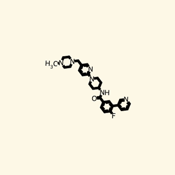 CN1CCN(Cc2ccc(N3CCC(NC(=O)c4ccc(F)c(-c5cccnc5)c4)CC3)nc2)CC1